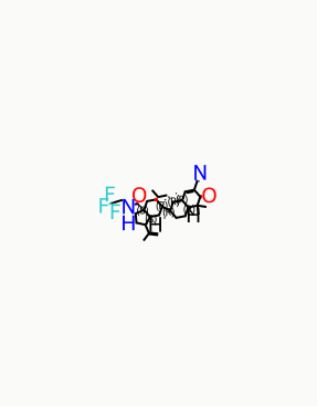 C=C(C)C1CC[C@]2(C(=O)NCC(F)(F)F)CC[C@@](C)([C@]3(C)CC[C@H]4C(C)(C)C(=O)C(C#N)=C[C@]4(C)[C@H]3CCC)C[C@@H]12